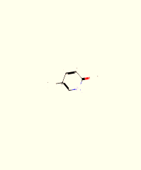 Cn1cc(C(F)(F)F)ccc1=O